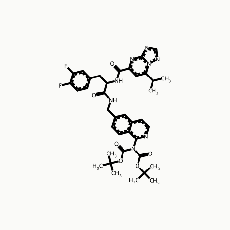 CC(C)c1cc(C(=O)NC(Cc2ccc(F)c(F)c2)C(=O)NCc2ccc3c(N(C(=O)OC(C)(C)C)C(=O)OC(C)(C)C)nccc3c2)nc2ncnn12